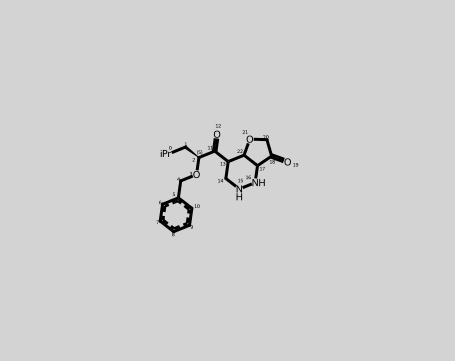 CC(C)C[C@H](OCc1ccccc1)C(=O)C1CNNC2C(=O)COC12